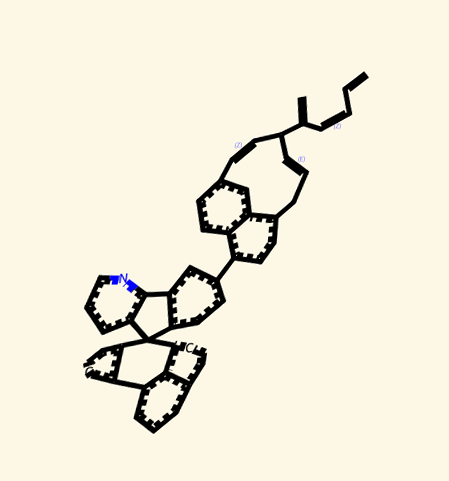 C=C/C=C\C(=C)C1/C=C\c2ccc3c(-c4ccc5c(c4)-c4ncccc4C54c5ccccc5-c5cccc6cccc4c56)ccc(c3c2)C/C=C/1